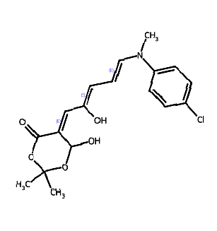 CN(/C=C/C=C(O)/C=C1/C(=O)OC(C)(C)OC1O)c1ccc(Cl)cc1